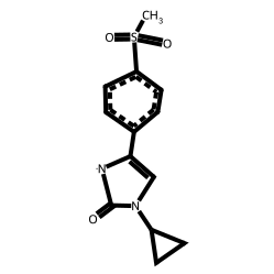 CS(=O)(=O)c1ccc(C2=CN(C3CC3)C(=O)[N]2)cc1